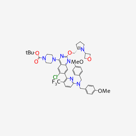 COc1ccc(CN(Cc2ccc(OC)cc2)c2ccc(C(F)(F)F)c(-c3cc4nc(OC[C@@H]5CCCN5C5COC5)nc(N5CCN(C(=O)OC(C)(C)C)CC5)c4cc3Cl)n2)cc1